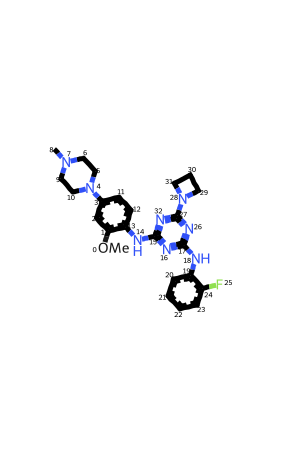 COc1cc(N2CCN(C)CC2)ccc1Nc1nc(Nc2ccccc2F)nc(N2CCC2)n1